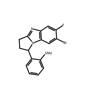 CSc1ccccc1C1CCc2nc3cc(F)c(Br)cc3n21